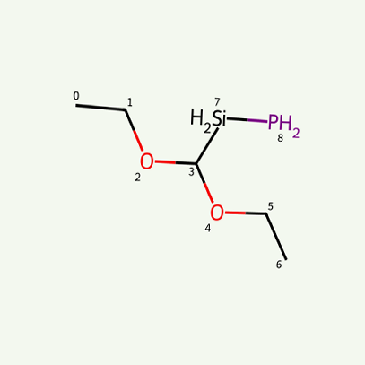 CCOC(OCC)[SiH2]P